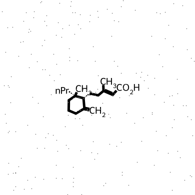 C=C1CCC[C@](C)(CCC)[C@@H]1CC/C(C)=C/C(=O)O